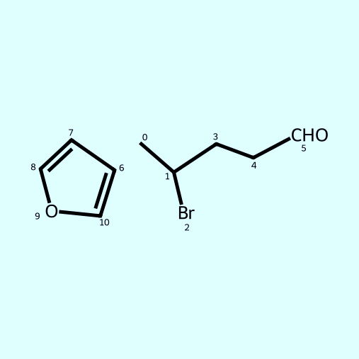 CC(Br)CCC=O.c1ccoc1